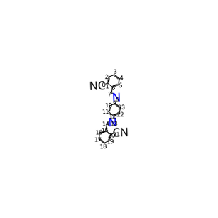 N#Cc1ccccc1C=Nc1ccc(N=Cc2ccccc2C#N)cc1